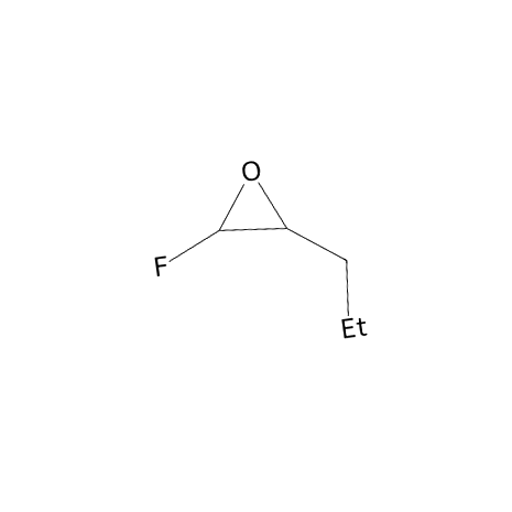 CCCC1OC1F